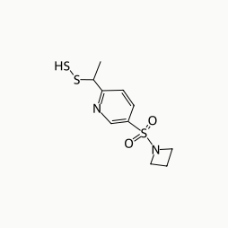 CC(SS)c1ccc(S(=O)(=O)N2CCC2)cn1